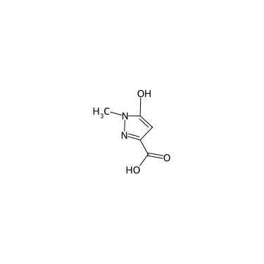 Cn1nc(C(=O)O)cc1O